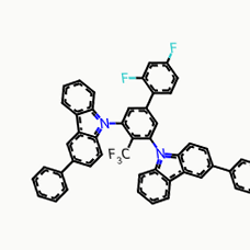 Fc1ccc(-c2cc(-n3c4ccccc4c4cc(-c5ccccc5)ccc43)c(C(F)(F)F)c(-n3c4ccccc4c4cc(-c5ccccc5)ccc43)c2)c(F)c1